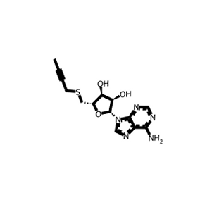 CC#CCSC[C@H]1O[C@@H](n2cnc3c(N)ncnc32)[C@H](O)[C@@H]1O